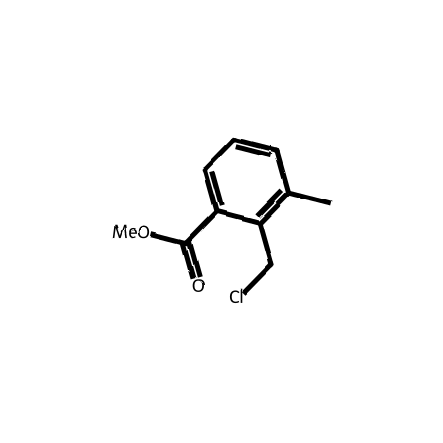 COC(=O)c1cccc(C)c1CCl